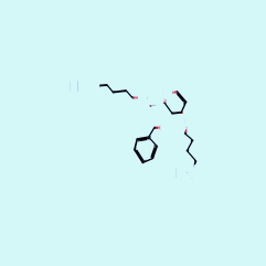 CCCCCOC[C@H]1OC=C[C@@H](OCCCCC)[C@@H]1OCc1ccccc1